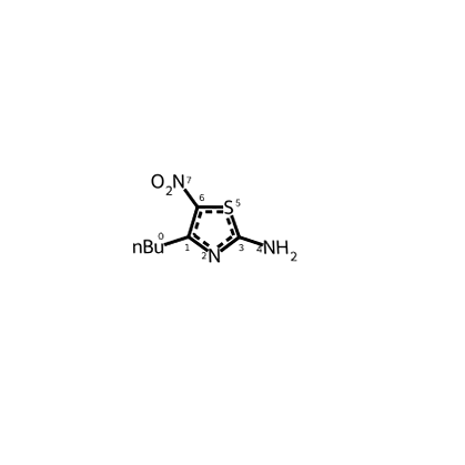 CCCCc1nc(N)sc1[N+](=O)[O-]